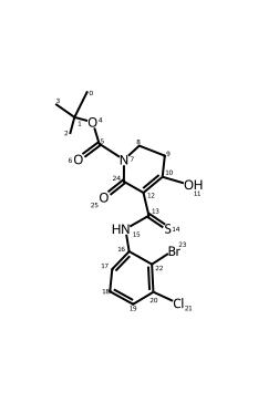 CC(C)(C)OC(=O)N1CCC(O)=C(C(=S)Nc2cccc(Cl)c2Br)C1=O